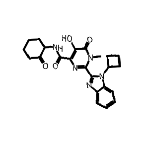 Cn1c(-c2nc3ccccc3n2C2CCC2)nc(C(=O)NC2CCCCC2=O)c(O)c1=O